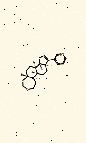 C[C@]12CCOCC[C@@H]1CC[C@@H]1[C@@H]2CC[C@]2(C)C(c3cccnc3)=CC[C@@H]12